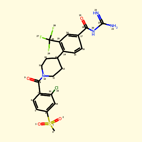 CS(=O)(=O)c1ccc(C(=O)N2CCC(c3ccc(C(=O)NC(=N)N)cc3C(F)(F)F)CC2)c(Cl)c1